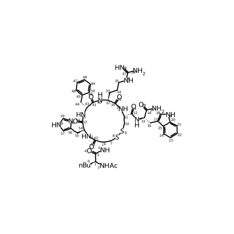 CCCC[C@H](NC(C)=O)C(=O)N[C@H]1CSSC[C@@H](C(=O)N[C@@H](Cc2c[nH]c3ccccc23)C(N)=O)NC(=O)[C@H](CCCNC(=N)N)NC(=O)[C@@H](Cc2ccccc2)NC(=O)[C@H](Cc2c[nH]cn2)NC1=O